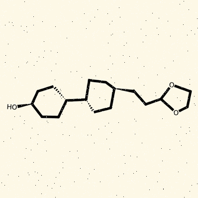 O[C@H]1CC[C@H]([C@H]2CC[C@H](CCC3OCCO3)CC2)CC1